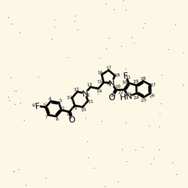 O=C(c1ccc(F)cc1)C1CCN(CCC2CCCN2C(=O)c2[nH]c3ccccc3c2F)CC1